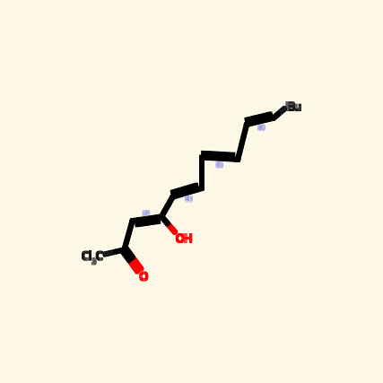 CCC(C)/C=C/C=C/C=C/C(O)=C/C(=O)C(Cl)(Cl)Cl